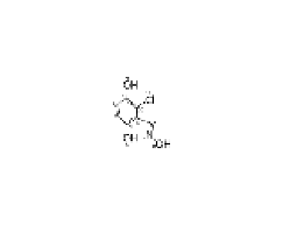 ON=Cc1c(O)ccc(O)c1Cl